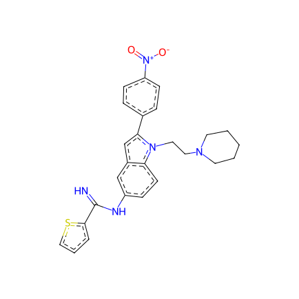 N=C(Nc1ccc2c(c1)cc(-c1ccc([N+](=O)[O-])cc1)n2CCN1CCCCC1)c1cccs1